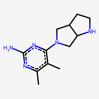 Cc1nc(N)nc(N2CC3CCNC3C2)c1C